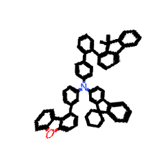 CC1(C)c2ccccc2-c2cccc(-c3ccccc3-c3ccc(N(c4cccc(-c5cccc6oc7ccccc7c56)c4)c4ccc5c(c4)C4(CCCCC4)c4ccccc4-5)cc3)c21